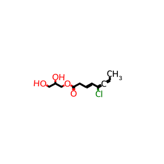 CC=C=C(Cl)C=CCC(=O)OCC(O)CO